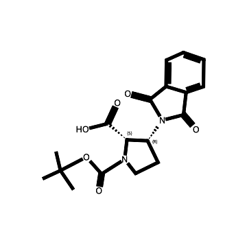 CC(C)(C)OC(=O)N1CC[C@@H](N2C(=O)c3ccccc3C2=O)[C@H]1C(=O)O